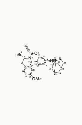 C#CC(=O)N1[C@@H](CCCC)Cc2ccc(OC)cc2[C@@H]1c1ccc(NC23CC4CC(CC(C4)C2)C3)cc1